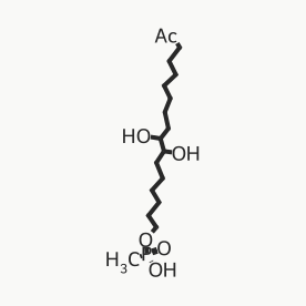 CC(=O)CCCCCCCC(O)C(O)CCCCCCOP(C)(=O)O